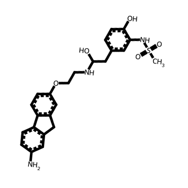 CS(=O)(=O)Nc1cc(CC(O)NCCOc2ccc3c(c2)Cc2cc(N)ccc2-3)ccc1O